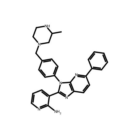 CC1CN(Cc2ccc(-n3c(-c4cccnc4N)nc4ccc(-c5ccccc5)nc43)cc2)CCN1